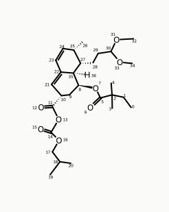 CCC(C)(C)C(=O)O[C@H]1C[C@H](C(=O)OC(=O)OCC(C)C)C=C2C=C[C@H](C)[C@H](CCC(OC)OC)[C@H]21